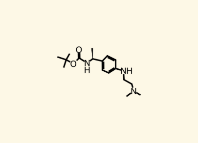 C[C@H](NC(=O)OC(C)(C)C)c1ccc(NCCN(C)C)cc1